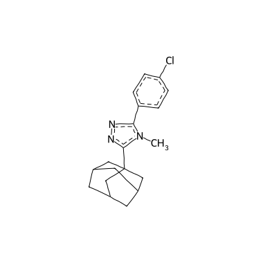 Cn1c(-c2ccc(Cl)cc2)nnc1C12CC3CC(CC(C3)C1)C2